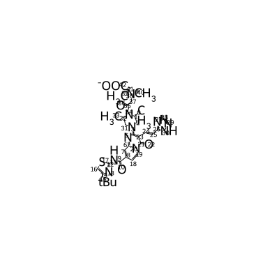 CC1CN(c2nc3cc(C(=O)Nc4nc(C(C)(C)C)cs4)ccn3c(=O)c2C=Cc2nnn[nH]2)CC(C)N1C(=O)C[N+](C)(C)CC(=O)[O-]